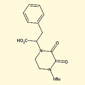 CCCCN1CCN(C(Cc2ccccc2)C(=O)O)C(=O)C1=O